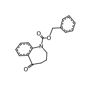 O=C1CCCN(C(=O)OCc2ccccc2)c2ccccc21